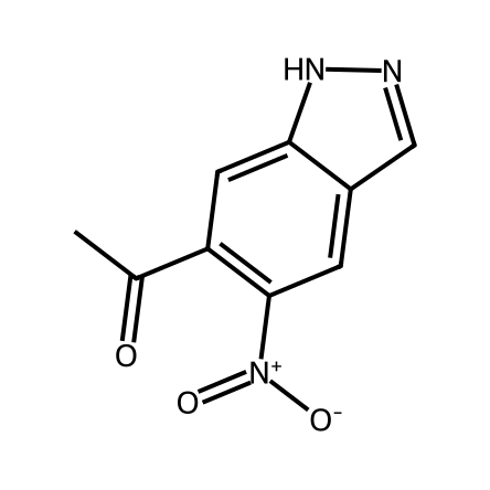 CC(=O)c1cc2[nH]ncc2cc1[N+](=O)[O-]